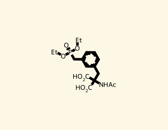 CCOP(=O)(Cc1cccc(CC(NC(C)=O)(C(=O)O)C(=O)O)c1)OCC